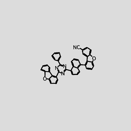 N#Cc1ccc2oc3cccc(-c4cccc5c(-c6nc(-c7ccccc7)nc(-c7cccc8oc9ccccc9c78)n6)cccc45)c3c2c1